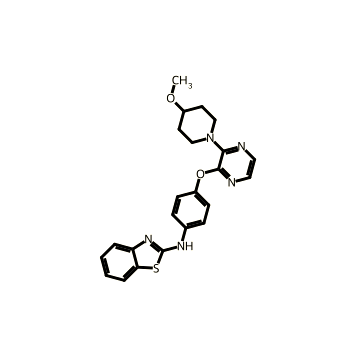 COC1CCN(c2nccnc2Oc2ccc(Nc3nc4ccccc4s3)cc2)CC1